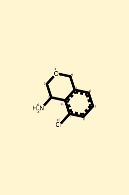 NC1COCc2cccc(Cl)c21